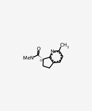 CNC(=O)[C@H]1CCc2ccc(C)nc21